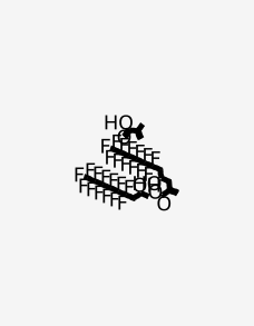 C=C(C)C(=O)O.C=C(CC(O)CC(F)(F)C(F)(F)C(F)(F)C(F)(F)C(F)(F)C(F)(F)F)C(=O)OCC(O)CC(F)(F)C(F)(F)C(F)(F)C(F)(F)C(F)(F)C(F)(F)F